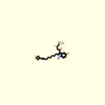 C[C@H](CC(=O)O)CC(=O)c1c(CCCCCCC#CC2CC(F)(F)C2)n(C)c2ccc(Cl)cc12